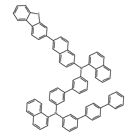 c1ccc(-c2ccc(-c3cccc(N(c4cccc(-c5cccc(N(c6ccc7cc(-c8ccc9c(c8)sc8ccccc89)ccc7c6)c6cccc7ccccc67)c5)c4)c4cccc5ccccc45)c3)cc2)cc1